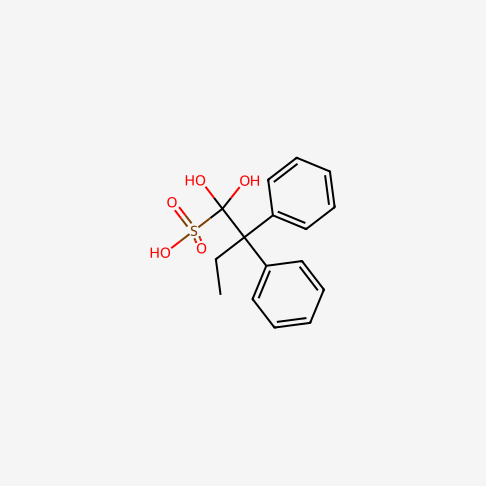 CCC(c1ccccc1)(c1ccccc1)C(O)(O)S(=O)(=O)O